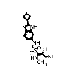 CN/C(=C(/Cl)C=N)S(=O)(=O)CNc1ccc2nc(C3CCC3)[nH]c2c1